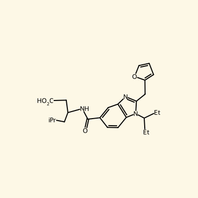 CCC(CC)n1c(Cc2ccco2)nc2cc(C(=O)NC(CC(=O)O)CC(C)C)ccc21